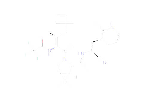 C[C@@H](OC1(C)CCC1)[C@H](NC(=O)C(F)(F)F)C(=O)N1C[C@H]2[C@@H]([C@H]1C(=O)N[C@H](C#N)C[C@@H]1CCCNC1=O)C2(C)C